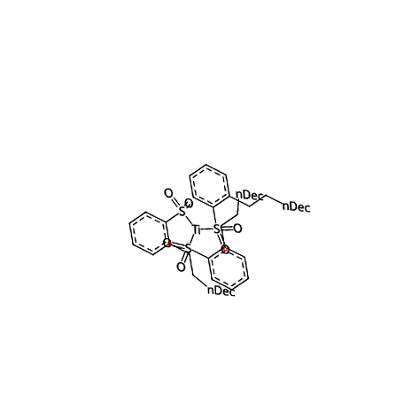 CCCCCCCCCCCCc1ccccc1[S](=O)(=O)[Ti]([S](=O)(=O)c1ccccc1CCCCCCCCCCCC)[S](=O)(=O)c1ccccc1CCCCCCCCCCCC